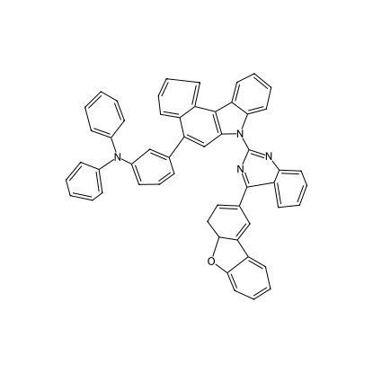 C1=C(c2nc(-n3c4ccccc4c4c5ccccc5c(-c5cccc(N(c6ccccc6)c6ccccc6)c5)cc43)nc3ccccc23)C=C2c3ccccc3OC2C1